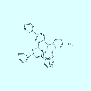 FC(F)(F)c1ccc2c(c1)c1cc(C(F)(F)F)ccc1n2-c1ccc(-c2cccnc2)cc1-c1nc(-c2ccccc2)nc(-c2ccccc2)n1